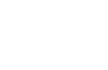 O=Nc1ccccc1C(=O)CC(=O)NCc1ccccn1